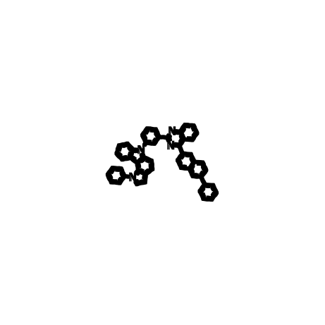 c1ccc(-c2ccc3cc(-c4nc(-c5cccc(-n6c7ccccc7c7c8c(ccc76)ccn8-c6ccccc6)c5)nc5ccccc45)ccc3c2)cc1